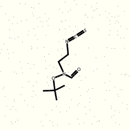 CC(C)(C)ON(C=O)CCN=C=S